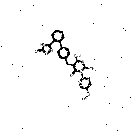 CCCCc1nc(C)n(-c2ncc(OCC)cn2)c(=O)c1Cc1ccc(-c2ccccc2-c2noc(=O)[nH]2)cc1